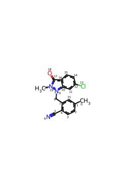 Cc1ccc(C#N)c(Cn2c3cc(Cl)ccc3c(=O)n2C)c1